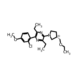 CCOC[C@H]1CCN(c2nc(CC)c(-c3ccc(OC)cc3Cl)nc2CC)C1